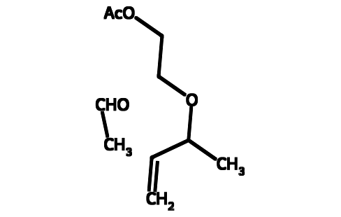 C=CC(C)OCCOC(C)=O.CC=O